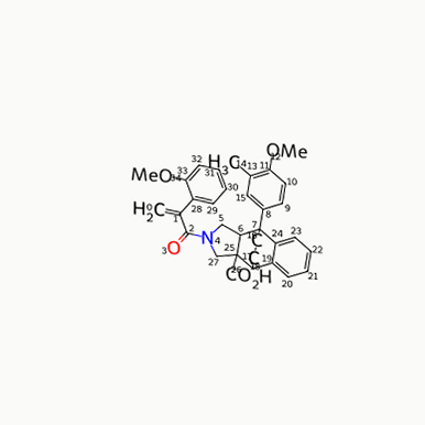 C=C(C(=O)N1CC2C3(c4ccc(OC)c(C)c4)CCC(c4ccccc43)C2(C(=O)O)C1)c1ccccc1OC